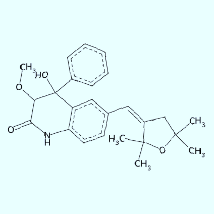 COC1C(=O)Nc2ccc(C=C3CC(C)(C)OC3(C)C)cc2C1(O)c1ccccc1